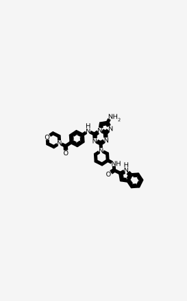 Nc1cn2c(Nc3ccc(C(=O)N4CCOCC4)cc3)nc(N3CCCC(NC(=O)c4cc5ccccc5[nH]4)C3)nc2n1